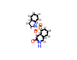 O=c1cc2c(S(=O)(=O)N3CCc4ccccc43)cccc2c[nH]1